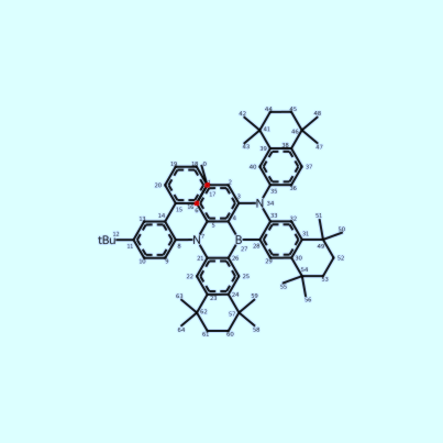 Cc1cc2c3c(c1)N(c1ccc(C(C)(C)C)cc1-c1ccccc1)c1cc4c(cc1B3c1cc3c(cc1N2c1ccc2c(c1)C(C)(C)CCC2(C)C)C(C)(C)CCC3(C)C)C(C)(C)CCC4(C)C